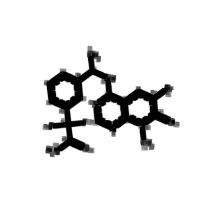 CC(Nc1ncnc2c1cc(Br)c(=O)n2C)c1cccc(C(F)(F)C(N)=O)c1